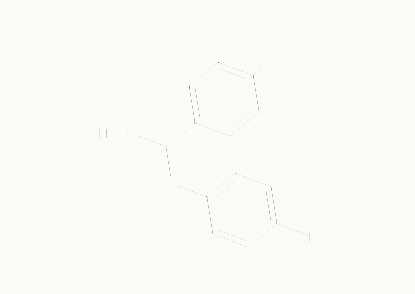 O=C(O)C(Sc1ccc(F)cc1)c1ccc(Cl)cc1